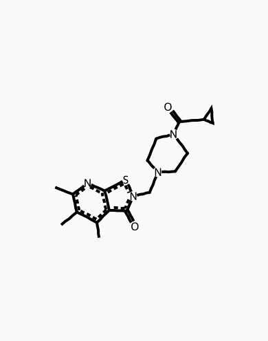 Cc1nc2sn(CN3CCN(C(=O)C4CC4)CC3)c(=O)c2c(C)c1C